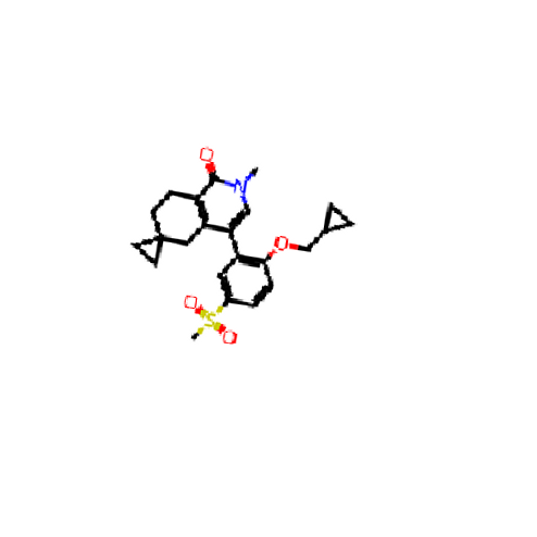 Cn1cc(-c2cc(S(C)(=O)=O)ccc2OCC2CC2)c2c(c1=O)CCC1(CC1)C2